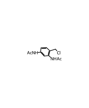 CC(=O)Nc1ccc(CCl)c(NC(C)=O)c1